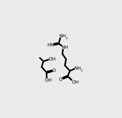 CC(O)CC(=O)O.N=C(N)NCCCC(N)C(=O)O